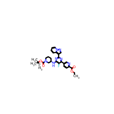 CCOC(=O)c1ccc(-c2nc(-c3cnn4ccccc34)nc(N[C@@H]3CCCN(C(=O)OC(C)(C)C)C3)c2F)cn1